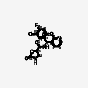 COc1ncccc1[C@H](NC(=O)C1CNC(=O)O1)c1ccc(F)c(Cl)c1